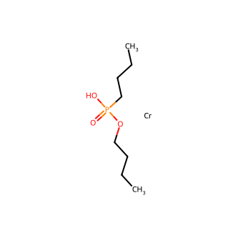 CCCCOP(=O)(O)CCCC.[Cr]